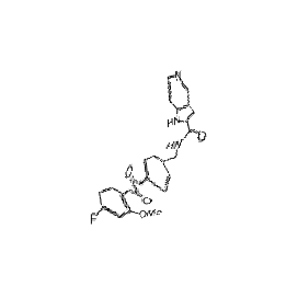 COc1cc(F)ccc1S(=O)(=O)c1ccc(CNC(=O)c2cc3cnccc3[nH]2)cc1